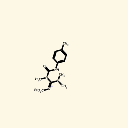 CCOC(=O)/N=C(/N(C)C)N(C)C(=O)Nc1ccc(C)cc1